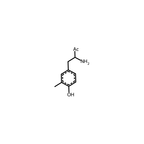 CC(=O)C(N)Cc1ccc(O)c(C)c1